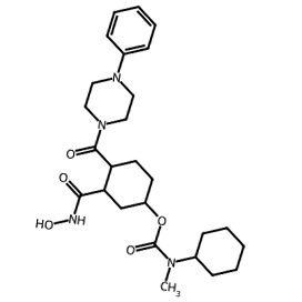 CN(C(=O)OC1CCC(C(=O)N2CCN(c3ccccc3)CC2)C(C(=O)NO)C1)C1CCCCC1